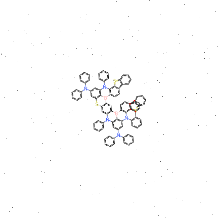 c1ccc(-c2ccccc2N2c3cc(N(c4ccccc4)c4ccccc4)cc4c3B(c3cc5c(cc3N4c3ccccc3)Sc3cc(N(c4ccccc4)c4ccccc4)cc4c3B5c3ccc5c(sc6ccccc65)c3N4c3ccccc3)c3ccc4c(sc5ccccc54)c32)cc1